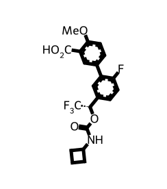 COc1ccc(-c2cc([C@H](OC(=O)NC3CCC3)C(F)(F)F)ccc2F)cc1C(=O)O